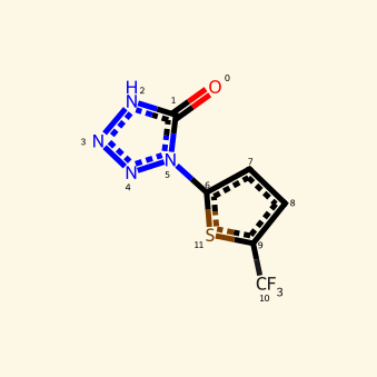 O=c1[nH]nnn1-c1ccc(C(F)(F)F)s1